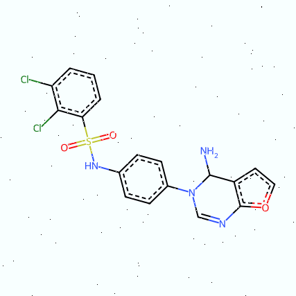 NC1c2ccoc2N=CN1c1ccc(NS(=O)(=O)c2cccc(Cl)c2Cl)cc1